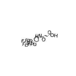 CN(S(=O)(=O)c1ccc(NC(=O)/C=C/C(=O)O)cc1)S(=O)(=O)C(F)(F)F